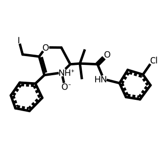 CC(C)(C(=O)Nc1cccc(Cl)c1)C1COC(CI)=C(c2ccccc2)[NH+]1[O-]